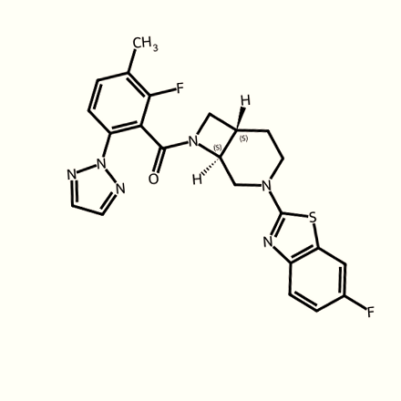 Cc1ccc(-n2nccn2)c(C(=O)N2C[C@@H]3CCN(c4nc5ccc(F)cc5s4)C[C@H]32)c1F